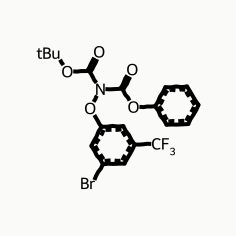 CC(C)(C)OC(=O)N(Oc1cc(Br)cc(C(F)(F)F)c1)C(=O)Oc1ccccc1